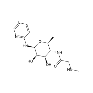 CNCC(=O)N[C@@H]1[C@@H](O)[C@@H](O)[C@@H](Nc2ccncn2)O[C@H]1C